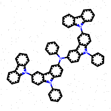 c1ccc(N(c2ccc3c(c2)c2cc(-n4c5ccccc5c5ccccc54)ccc2n3-c2ccccc2)c2ccc3c(c2)c2cc(-n4c5ccccc5c5ccccc54)ccc2n3-c2ccccc2)cc1